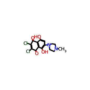 CN1CCN(c2cc(O)c3c(c2O)C(=O)C(Cl)=C(Cl)C3=O)CC1